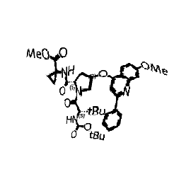 COC(=O)C1(NC(=O)[C@@H]2C[C@@H](Oc3cc(-c4ccccc4)nc4cc(OC)ccc34)CN2C(=O)[C@@H](NC(=O)OC(C)(C)C)C(C)(C)C)CC1